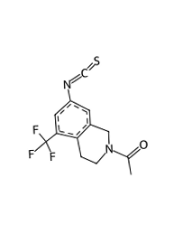 CC(=O)N1CCc2c(cc(N=C=S)cc2C(F)(F)F)C1